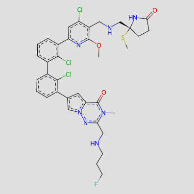 COc1nc(-c2cccc(-c3cccc(-c4cc5c(=O)n(C)c(CNCCCF)nn5c4)c3Cl)c2Cl)cc(Cl)c1CNC[C@]1(SC)CCC(=O)N1